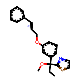 CCC(OC)(c1cccc(OC/C=C/c2ccccc2)c1)c1nccs1